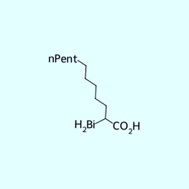 CCCCCCCCCC[CH]([BiH2])C(=O)O